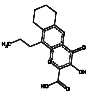 CCCc1c2c(cc3c(=O)c(O)c(C(=O)O)oc13)CCCC2